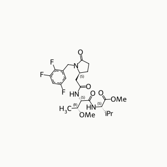 COC(=O)[C@@H](NC(=O)[C@@H](NC(=O)C[C@@H]1CCC(=O)N1Cc1cc(F)cc(F)c1F)[C@@H](C)OC)C(C)C